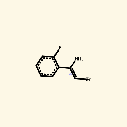 CC(C)/C=C(\N)c1ccccc1F